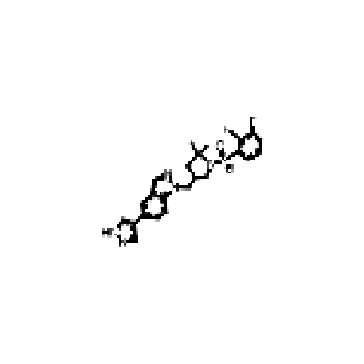 CC1(C)CC(Cn2ncc3cc(-c4cn[nH]c4)ccc32)CN1S(=O)(=O)c1cccc(F)c1F